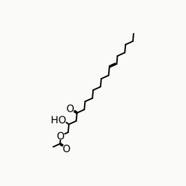 CCCCC/C=C/CCCCCCCC(=O)CC(O)COC(C)=O